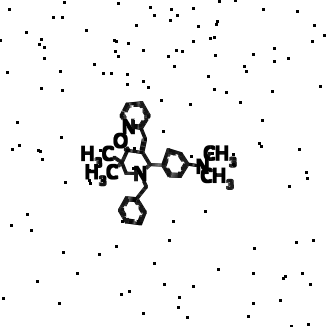 CN(C)c1ccc(C2C(=Cc3ccccn3)C(=O)C(C)(C)CN2Cc2ccccc2)cc1